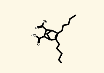 CCCCCC1=C(CCCCC)C2CC1C(C(=O)O)C2C(=O)O